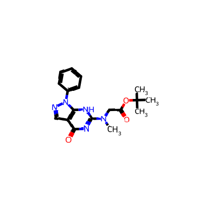 CN(CC(=O)OC(C)(C)C)c1nc(=O)c2cnn(-c3ccccc3)c2[nH]1